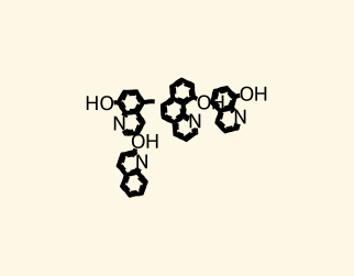 Cc1ccc(O)c2ncccc12.Oc1ccc2ccccc2n1.Oc1cccc2ccc3cccnc3c12.Oc1cccc2cccnc12